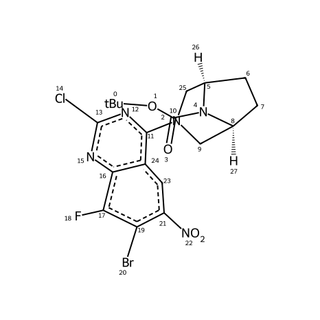 CC(C)(C)OC(=O)N1[C@@H]2CC[C@H]1CN(c1nc(Cl)nc3c(F)c(Br)c([N+](=O)[O-])cc13)C2